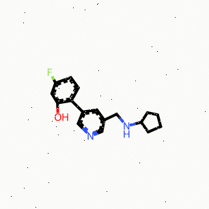 Oc1cc(F)ccc1-c1cncc(CNC2CCCC2)c1